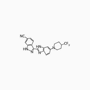 N#Cc1ccc2c(-c3nc4ccc(N5CCC(C(F)(F)F)CC5)cc4[nH]3)n[nH]c2c1